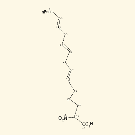 CCCCCC=CCC=CCC=CCCCC(C(=O)O)[N+](=O)[O-]